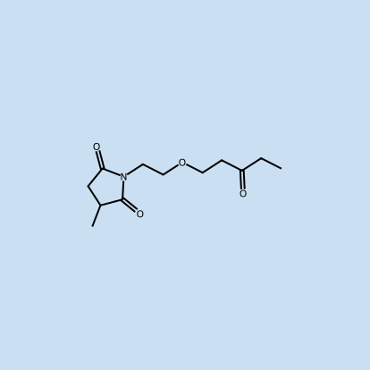 CCC(=O)CCOCCN1C(=O)CC(C)C1=O